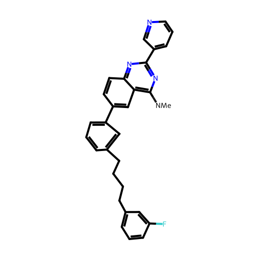 CNc1nc(-c2cccnc2)nc2ccc(-c3cccc(CCCCc4cccc(F)c4)c3)cc12